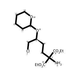 CCOC(=O)C(N)(CC[C@@H](CCl)OC1CCCCO1)C(=O)OCC